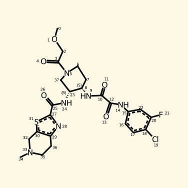 COCC(=O)N1CC[C@H](NC(=O)C(=O)Nc2ccc(Cl)c(F)c2)[C@H](NC(=O)c2nc3c(s2)CN(C)CC3)C1